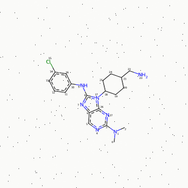 CN(C)c1ncc2nc(Nc3cccc(Cl)c3)n(C3CCC(CN)CC3)c2n1